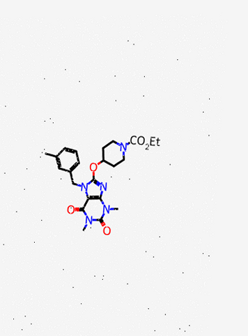 CCOC(=O)N1CCC(Oc2nc3c(c(=O)n(C)c(=O)n3C)n2Cc2cccc(C)c2)CC1